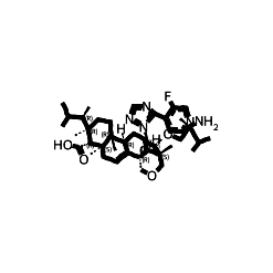 CC(C)[C@@H](C)[C@@]1(C)CC[C@]2(C)[C@H]3CC[C@@H]4[C@@]5(COC[C@@]4(C)[C@@H](OC[C@](C)(N)C(C)C)[C@H](n4ncnc4-c4ccncc4F)C5)C3=CC[C@@]2(C)[C@@H]1C(=O)O